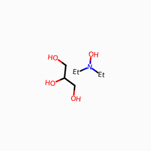 CCN(O)CC.OCC(O)CO